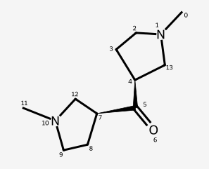 CN1CC[C@H](C(=O)[C@H]2CCN(C)C2)C1